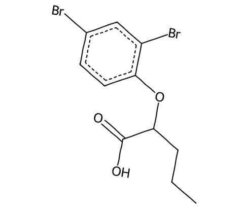 CCCC(Oc1ccc(Br)cc1Br)C(=O)O